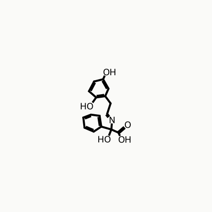 O=C(O)C(O)(N=CCc1cc(O)ccc1O)c1ccccc1